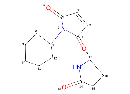 O=C1C=CC(=O)N1C1CCCCC1.O=C1CCCN1